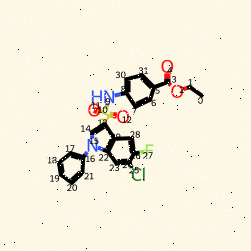 CCOC(=O)c1ccc(NS(=O)(=O)c2cn(-c3ccccc3)c3cc(Cl)c(F)cc23)cc1